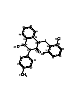 Cc1ccc(N2C(=O)N(Cc3c(F)cccc3Cl)c3ccccc3[S+]2[O-])cc1